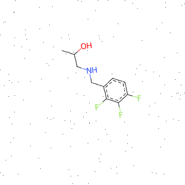 CC(O)CNCc1ccc(F)c(F)c1F